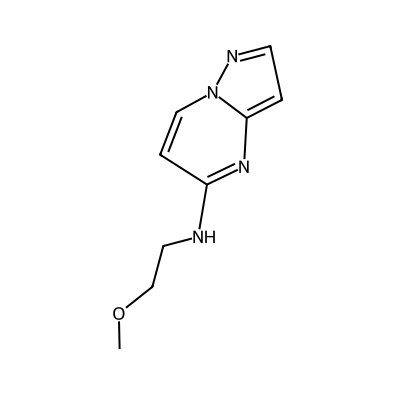 COCCNc1ccn2nccc2n1